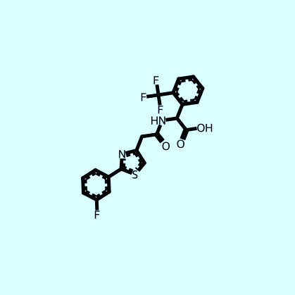 O=C(Cc1csc(-c2cccc(F)c2)n1)NC(C(=O)O)c1ccccc1C(F)(F)F